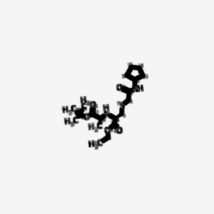 CCOC(=O)[C@H](CSCC(=O)NC1CCCC1)N[C@@H](C)C(=O)OC(C)(C)C